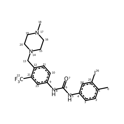 Cc1ccc(NC(=O)Nc2ccc(CN3CCN(C)CC3)c(C(F)(F)F)c2)cc1I